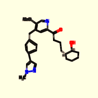 COc1cnc(C(=O)CCC[C@H]2CCCC[C@@H]2O)cc1Cc1ccc(-c2cnn(C)c2)cc1